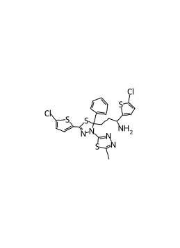 Cc1nnc(N2N=C(c3ccc(Cl)s3)SC2(CCC(N)c2ccc(Cl)s2)c2ccccc2)s1